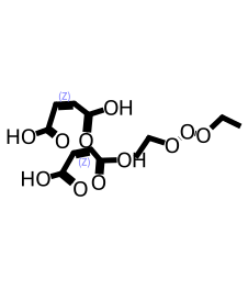 CCOOOCC.O=C(O)/C=C\C(=O)O.O=C(O)/C=C\C(=O)O